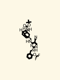 CC(C)(C)OC(=O)N[C@@H]1[C@@H]2CC3C[C@H]1C[C@@](CNc1nc(NCc4ccccc4OC(F)F)ncc1C#N)(C3)C2